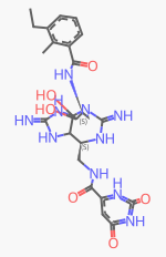 CCc1cccc(C(=O)N[C@H]2CN3C(=N)N[C@@H](CNC(=O)c4cc(=O)[nH]c(=O)[nH]4)C4NC(=N)NC43C2(O)O)c1C